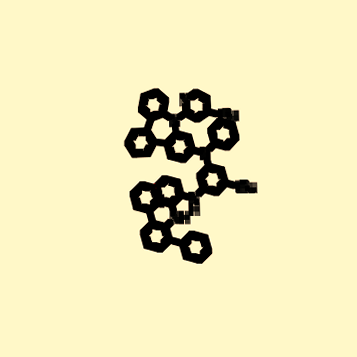 CC(C)(C)c1cc(Nc2cccnc2Nc2c(-c3ccccc3)cccc2-c2ccccc2)cc(N(c2ccccc2)c2ccc3c(c2)N(c2cc(C(C)(C)C)ccn2)c2ccccc2-c2ccccc2-3)c1